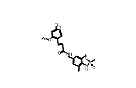 CC(C)Oc1cc(C(F)(F)F)ccc1C=CC(=O)NCc1cc(F)c(NS(C)(=O)=O)c(F)c1